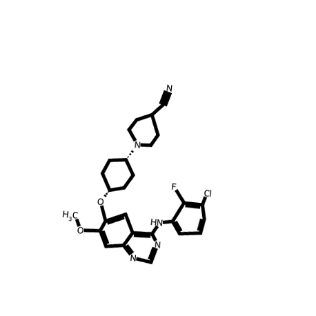 COc1cc2ncnc(Nc3cccc(Cl)c3F)c2cc1O[C@H]1CC[C@@H](N2CCC(C#N)CC2)CC1